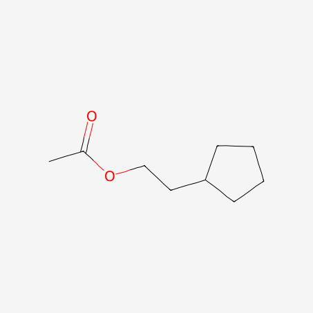 CC(=O)OCCC1CCCC1